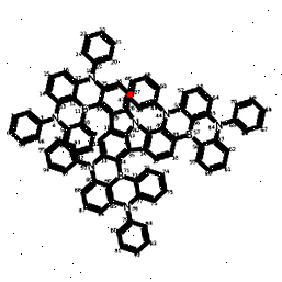 c1ccc(N2c3ccccc3B3c4c2cccc4N(c2ccccc2)c2ccc4c(c23)c2cc3c(c5c6ccc7c(c6n4c25)N(c2ccccc2)c2cccc4c2B7c2ccccc2N4c2ccccc2)B2c4ccccc4N(c4ccccc4)c4cccc(c42)N3c2ccccc2)cc1